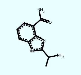 CC(N)c1nc2c(C(N)=O)cccc2[nH]1